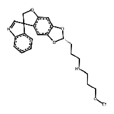 CCOCCCNCCC[C@H]1Oc2cc3c(cc2O1)C1(C=Nc2ccccc21)CO3